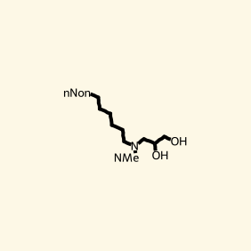 CCCCCCCCCCCCCCCN(CC(O)CO)NC